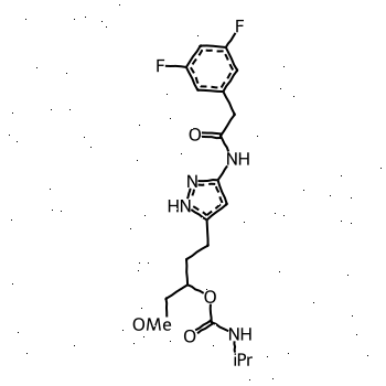 COCC(CCc1cc(NC(=O)Cc2cc(F)cc(F)c2)n[nH]1)OC(=O)NC(C)C